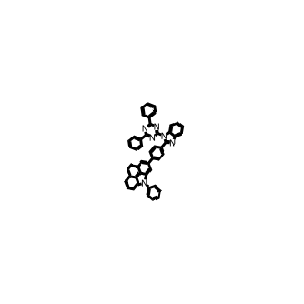 c1ccc(-c2nc(-c3ccccc3)nc(-n3c(-c4ccc(-c5cc6ccc7cccc8c7c6c(c5)n8-c5ccccc5)cc4)nc4ccccc43)n2)cc1